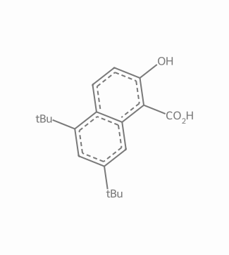 CC(C)(C)c1cc(C(C)(C)C)c2ccc(O)c(C(=O)O)c2c1